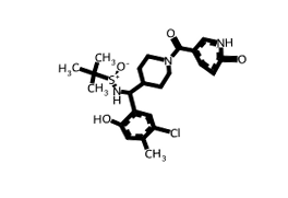 Cc1cc(O)c(C(N[S@@+]([O-])C(C)(C)C)C2CCN(C(=O)c3ccc(=O)[nH]c3)CC2)cc1Cl